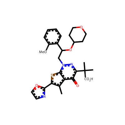 COc1ccccc1C(Cn1nc(C(C)(C)C(=O)O)c(=O)c2c(C)c(-c3ncco3)sc21)OC1CCOCC1